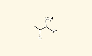 CCCC(C(C)Cl)S(=O)(=O)O